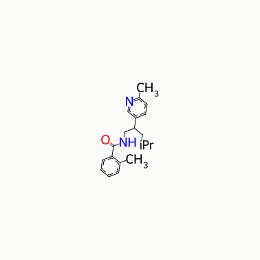 Cc1ccc(C(CNC(=O)c2ccccc2C)CC(C)C)cn1